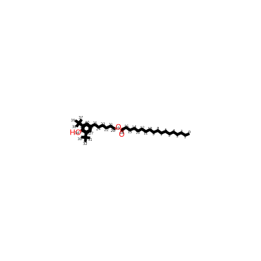 CCCCCCCCCCCCCCCCCC(=O)OCCCCCCc1cc(C(C)(C)C)c(O)c(C(C)(C)C)c1